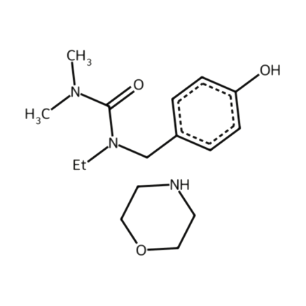 C1COCCN1.CCN(Cc1ccc(O)cc1)C(=O)N(C)C